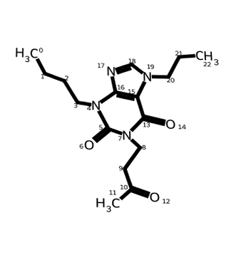 CCCCn1c(=O)n(CCC(C)=O)c(=O)c2c1ncn2CCC